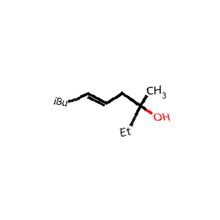 CCC(C)/C=C/CC(C)(O)CC